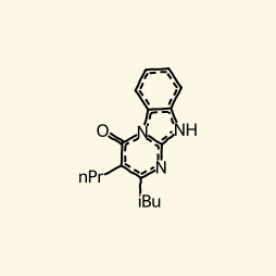 CCCc1c(C(C)CC)nc2[nH]c3ccccc3n2c1=O